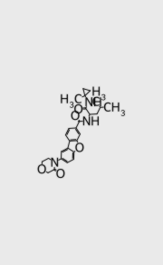 CC(C)CC(NC(=O)c1ccc2c(c1)oc1ccc(N3CCOCC3=O)cc12)C(=O)NC1(C)CC1